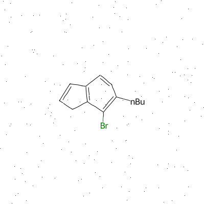 CCCCc1ccc2c(c1Br)CC=C2